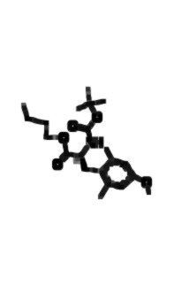 CCCCOC(=O)[C@H](Cc1c(C)cc(OC)cc1C)NC(=O)OC(C)(C)C